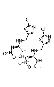 CN/C(=N\[N+](=O)[O-])NCc1cnc(Cl)s1.CN/C(=N\[N+](=O)[O-])NCc1cnc(Cl)s1